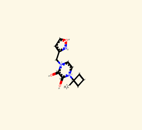 CC1(n2ccn(Cc3ccon3)c(=O)c2=O)CCC1